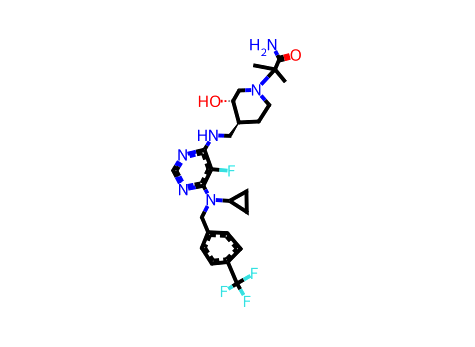 CC(C)(C(N)=O)N1CC[C@@H](CNc2ncnc(N(Cc3ccc(C(F)(F)F)cc3)C3CC3)c2F)[C@H](O)C1